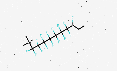 CCC(F)C(F)(F)C(F)(F)C(F)(F)C(F)(F)C(F)(F)C(F)(F)C(F)(F)[Si](C)(C)C